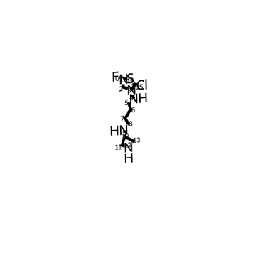 FN1CN(NCCCCNC2CNC2)C(Cl)S1